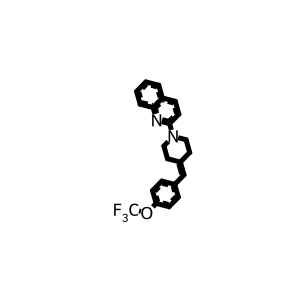 FC(F)(F)Oc1ccc(C=C2CCN(c3ccc4ccccc4n3)CC2)cc1